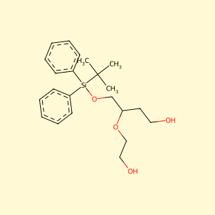 CC(C)(C)[Si](OCC(CCO)OCCO)(c1ccccc1)c1ccccc1